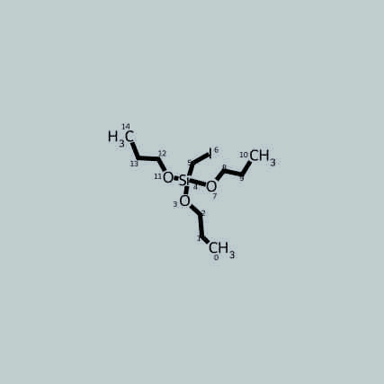 CCCO[Si](CI)(OCCC)OCCC